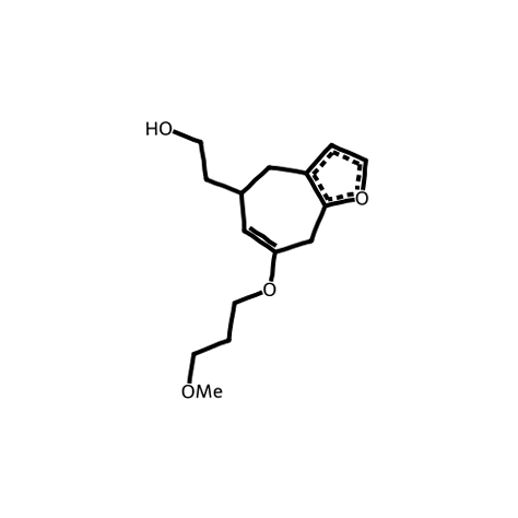 COCCCOC1=CC(CCO)Cc2ccoc2C1